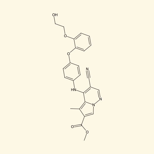 COC(=O)c1cn2ncc(C#N)c(Nc3ccc(Oc4ccccc4OCCO)cc3)c2c1C